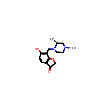 C[C@H]1CN(C(=O)O)CCN1Cc1c(O)ccc2c1OCC2=O